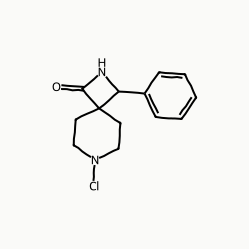 O=C1NC(c2ccccc2)C12CCN(Cl)CC2